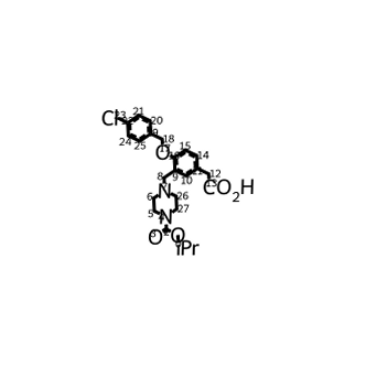 CC(C)OC(=O)N1CCN(Cc2cc(CC(=O)O)ccc2OCc2ccc(Cl)cc2)CC1